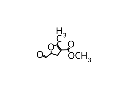 COC(=O)C1=C(C)OC(C=O)C1